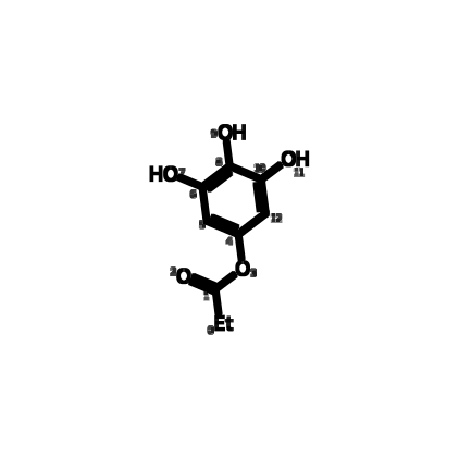 CCC(=O)Oc1cc(O)c(O)c(O)c1